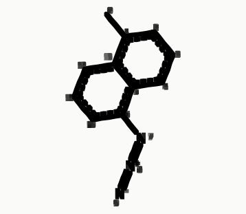 Cc1cccc2c(N=[N+]=[N-])cccc12